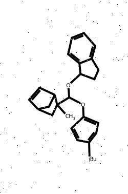 CCC(C)c1ccc(OC(OC2CCc3ccccc32)C2(C)CC3C=CC2C3)cc1